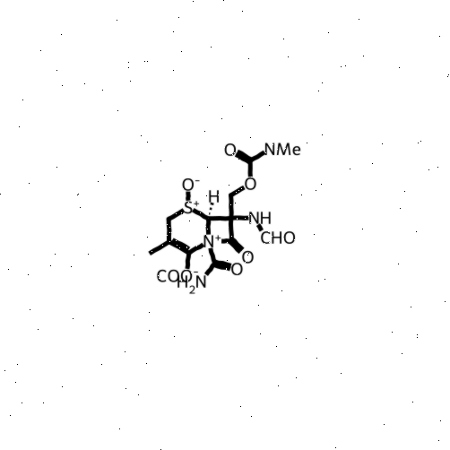 CNC(=O)OCC1(NC=O)C(=O)[N+]2(C(N)=O)C(C(=O)[O-])=C(C)C[S+]([O-])[C@@H]12